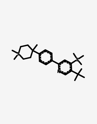 CC(C)(C)c1cnc(-c2ccc(C3(C)CCS(C)(C)CC3)cc2)cc1S(C)(C)C